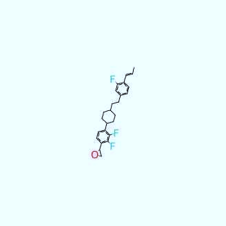 C/C=C/c1ccc(CCC2CCC(c3ccc(C4CO4)c(F)c3F)CC2)cc1F